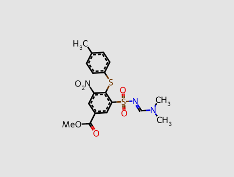 COC(=O)c1cc([N+](=O)[O-])c(Sc2ccc(C)cc2)c(S(=O)(=O)N=CN(C)C)c1